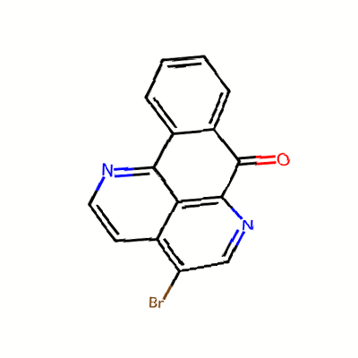 O=C1c2ccccc2-c2nccc3c(Br)cnc1c23